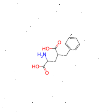 NC(CC(Cc1ccccc1)C(=O)O)C(=O)O